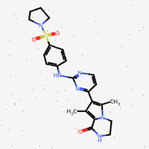 Cc1c(-c2ccnc(Nc3ccc(S(=O)(=O)N4CCCC4)cc3)n2)c(C)n2c1C(=O)NCC2